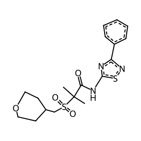 CC(C)(C(=O)Nc1nc(-c2ccccc2)ns1)S(=O)(=O)CC1CCOCC1